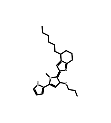 CCCCCCC1CCCC2=NC(=C3C(OCCC)C=C(c4ccc[nH]4)N3C)C=C21